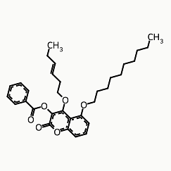 CCC=CCCOc1c(OC(=O)c2ccccc2)c(=O)oc2cccc(OCCCCCCCCCC)c12